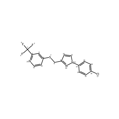 FC(F)(F)c1cc(SCc2ccn(-c3ccc(Cl)cc3)n2)ccn1